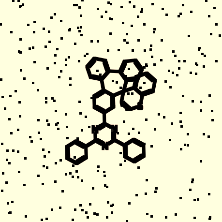 c1ccc(-c2nc(-c3ccccc3)nc(-c3ccc4c(c3)C3(c5ccccc5Sc5ccccc53)c3ccccc3-c3ccccc3-4)n2)cc1